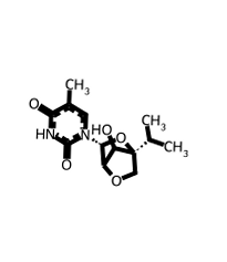 Cc1cn([C@@H]2O[C@@]3(C(C)C)COC2C3O)c(=O)[nH]c1=O